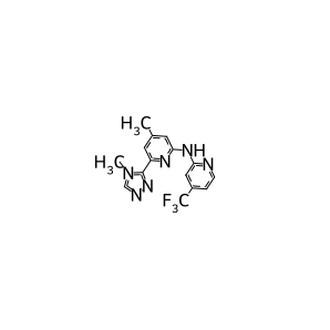 Cc1cc(Nc2cc(C(F)(F)F)ccn2)nc(-c2nncn2C)c1